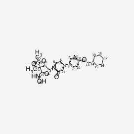 CC(CCn1ccc(-c2ccc(OCC3CCCCC3)nc2)cc1=O)(C(=O)NO)S(C)(=O)=O